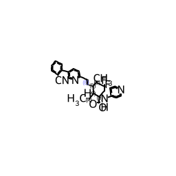 C[C@H]1OC(=O)[C@]2(Nc3ccncc3)CC(F)(F)[C@@H](C)[C@H](/C=C/c3ccc(-c4ccccc4C#N)cn3)[C@H]12